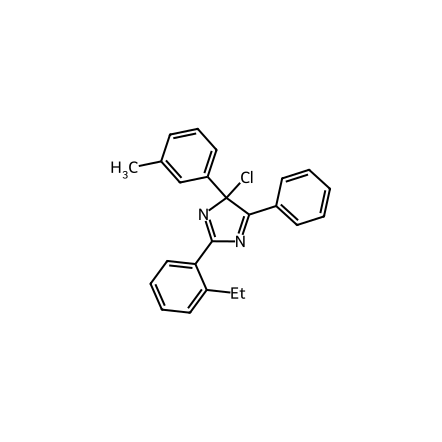 CCc1ccccc1C1=NC(Cl)(c2cccc(C)c2)C(c2ccccc2)=N1